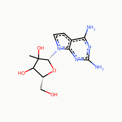 CC1(O)C(O)[C@@H](CO)O[C@H]1n1ccc2c(N)nc(N)nc21